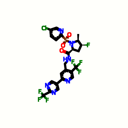 C[C@H]1[C@H](F)C[C@@H](C(=O)NCc2cc(-c3cnc(C(F)(F)F)nc3)ncc2C(F)(F)F)N1S(=O)(=O)c1ccc(Cl)cn1